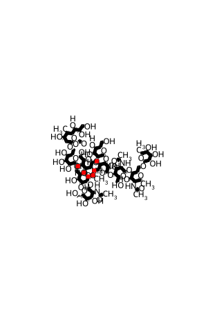 CC(=O)NC1C(O)[C@H](O)[C@H](CO)O[C@H]1OC1[C@@H](OCC2O[C@@H](O[C@@H]3C(CO)O[C@@H](O[C@@H]4C(CO[C@@H]5O[C@@H](C)[C@@H](O)C(O)C5O)O[C@@H](C)C(NC(C)=O)[C@H]4O)C(NC(C)=O)[C@H]3O)C(O)[C@@H](O[C@H]3OC(CO)[C@@H](O)C(O)C3O[C@@H]3OC(CO)[C@@H](O[C@@H]4OC(CO[C@]5(OC=O)C[C@@H](O)[C@@H](C)C([C@H](O)[C@H](O)CO)O5)[C@H](O)[C@H](O)C4O)[C@H](O)C3NC(C)=O)[C@@H]2O)OC(CO)[C@@H](O)[C@@H]1O